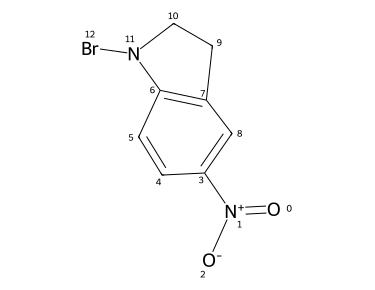 O=[N+]([O-])c1ccc2c(c1)CCN2Br